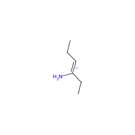 CC/C=C(\N)CC